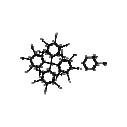 Fc1c(F)c(F)c([B-](c2c(F)c(F)c(F)c(F)c2F)(c2c(F)c(F)c(F)c(F)c2F)c2c(F)c(F)c(F)c(F)c2F)c(F)c1F.N#Cc1cccc[nH+]1